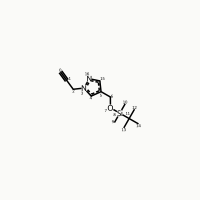 C#CCn1cc(CO[Si](C)(C)C(C)(C)C)cn1